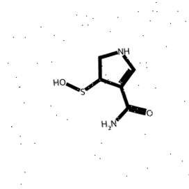 NC(=O)C1=CNCC1SO